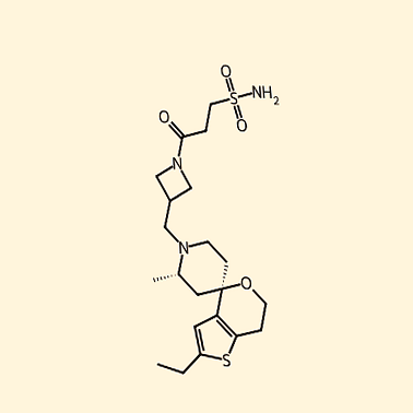 CCc1cc2c(s1)CCO[C@@]21CCN(CC2CN(C(=O)CCS(N)(=O)=O)C2)[C@@H](C)C1